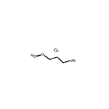 CCCCCCOO.[Cu]